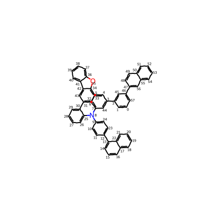 c1cc(-c2cccc(N(c3ccc(-c4cccc5ccccc45)cc3)c3ccccc3-c3ccc4oc5ccccc5c4c3)c2)cc(-c2ccc3ccccc3c2)c1